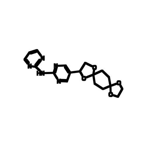 c1cnc(Nc2ncc(C3COC4(CCC5(CC4)OCCO5)O3)cn2)nc1